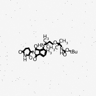 CC(C)(CCOC(C)(C)CNC(=O)OC(C)(C)C)Nc1cccc2c1C(=O)N(C1CCC(=O)NC1=O)C2=O